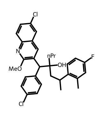 CCCC(O)(CC(C)c1ccc(F)cc1C)C(c1ccc(Cl)cc1)c1cc2cc(Cl)ccc2nc1OC